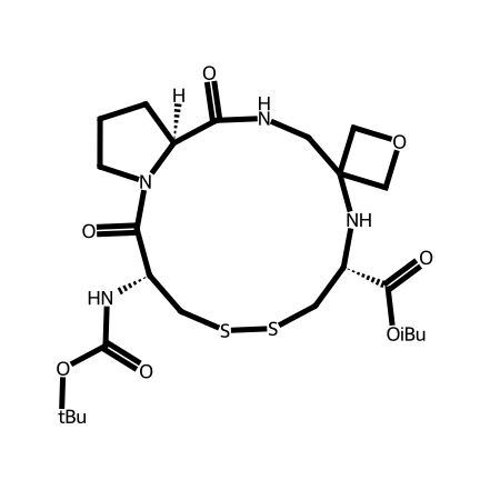 CC(C)COC(=O)[C@@H]1CSSC[C@H](NC(=O)OC(C)(C)C)C(=O)N2CCC[C@H]2C(=O)NCC2(COC2)N1